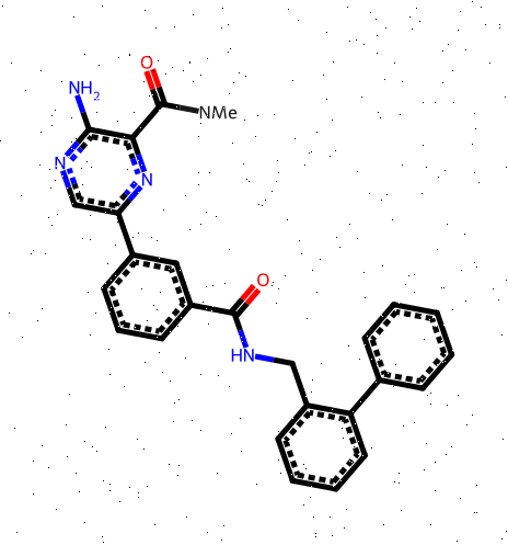 CNC(=O)c1nc(-c2cccc(C(=O)NCc3ccccc3-c3ccccc3)c2)cnc1N